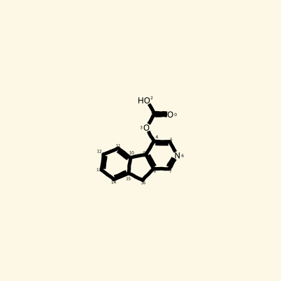 O=C(O)Oc1cncc2c1-c1ccccc1C2